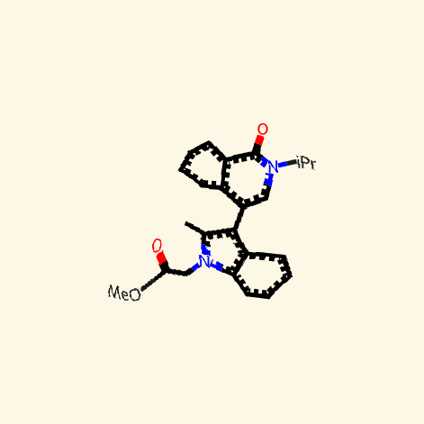 COC(=O)Cn1c(C)c(-c2cn(C(C)C)c(=O)c3ccccc23)c2ccccc21